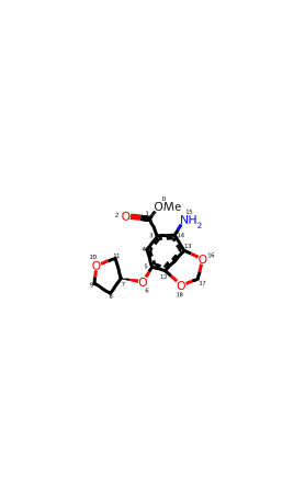 COC(=O)c1cc(O[C@H]2CCOC2)c2c(c1N)OCO2